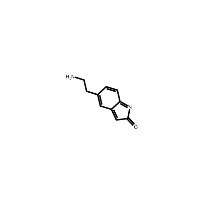 NCCc1ccc2c(c1)=CC(=O)N=2